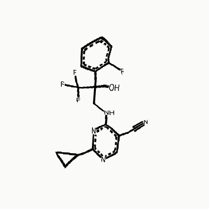 N#Cc1cnc(C2CC2)nc1NCC(O)(c1ccccc1F)C(F)(F)F